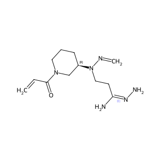 C=CC(=O)N1CCC[C@@H](N(CC/C(N)=N\N)N=C)C1